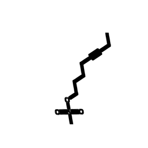 CCC#CCCCCOS(C)(=O)=O